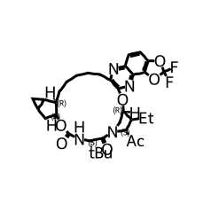 CCC1[C@@H]2CN(C(=O)[C@H](C(C)(C)C)NC(=O)O[C@@H]3CC4CC4[C@H]3CCCCCc3nc4ccc5c(c4nc3O2)OC(F)(F)O5)[C@@H]1C(C)=O